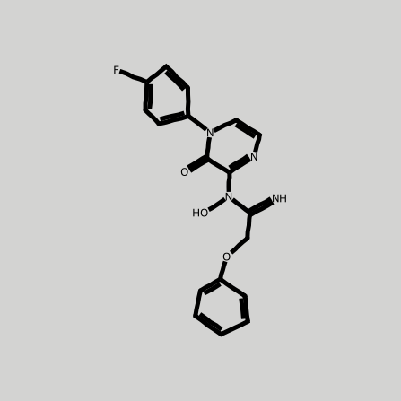 N=C(COc1ccccc1)N(O)c1nccn(-c2ccc(F)cc2)c1=O